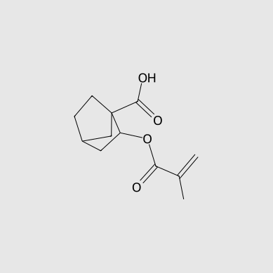 C=C(C)C(=O)OC1CC2CCC1(C(=O)O)C2